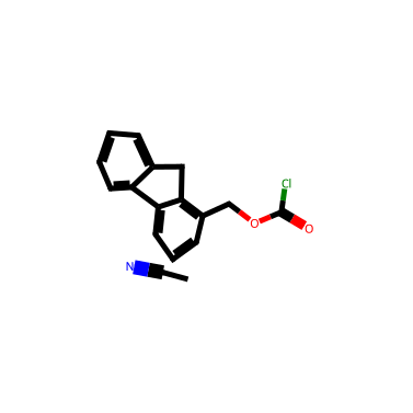 CC#N.O=C(Cl)OCc1cccc2c1Cc1ccccc1-2